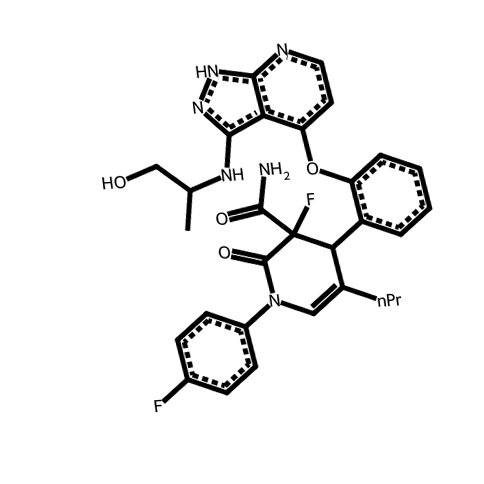 CCCC1=CN(c2ccc(F)cc2)C(=O)C(F)(C(N)=O)C1c1ccccc1Oc1ccnc2[nH]nc(NC(C)CO)c12